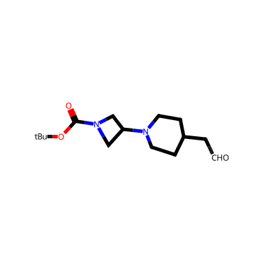 CC(C)(C)OC(=O)N1CC(N2CCC(CC=O)CC2)C1